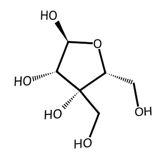 OC[C@H]1O[C@H](O)[C@@H](O)[C@]1(O)CO